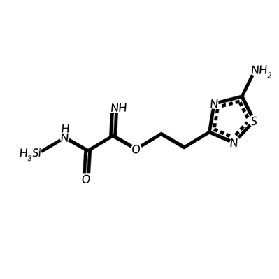 N=C(OCCc1nsc(N)n1)C(=O)N[SiH3]